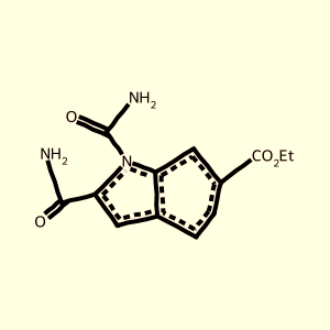 CCOC(=O)c1ccc2cc(C(N)=O)n(C(N)=O)c2c1